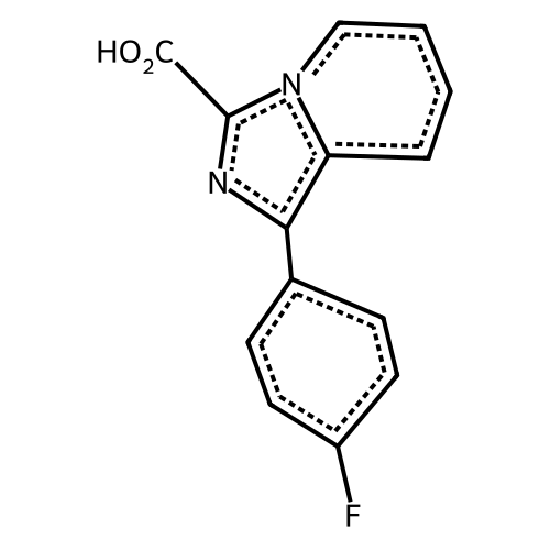 O=C(O)c1nc(-c2ccc(F)cc2)c2ccccn12